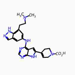 CN(C)CCc1cc(Nc2ncnc3[nH]c(C4=CCN(C(=O)O)CC4)cc23)cc2cn[nH]c12